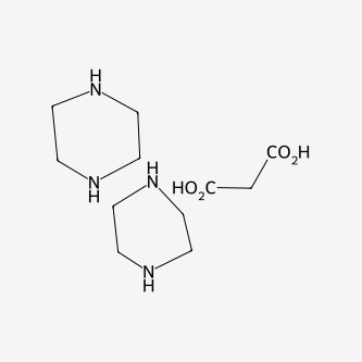 C1CNCCN1.C1CNCCN1.O=C(O)CC(=O)O